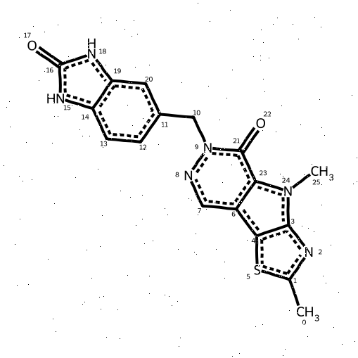 Cc1nc2c(s1)c1cnn(Cc3ccc4[nH]c(=O)[nH]c4c3)c(=O)c1n2C